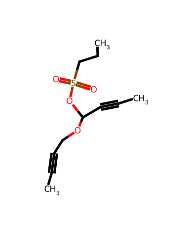 CC#CCOC(C#CC)OS(=O)(=O)CCC